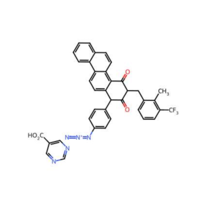 Cc1c(CC2C(=O)c3c(ccc4c3ccc3ccccc34)C(c3ccc(N=[N+]=[N-])cc3)C2=O)cccc1C(F)(F)F.O=C(O)c1cncnc1